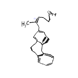 C/C(=C/CO)c1ccc2c(c1)Cc1ccccc1-2